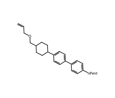 C=CCOCC1CCC(c2ccc(-c3ccc(CCCCC)cc3)cc2)CC1